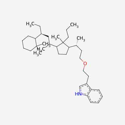 CCCC1(C)C(C(C)C[C@H](CC)C2CCCCC2(C)C)CCC1[C@H](C)CCOCCc1c[nH]c2ccccc12